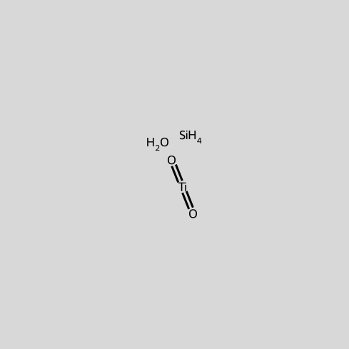 O.[O]=[Ti]=[O].[SiH4]